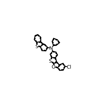 Clc1ccc2oc3sc4cc(N(c5ccccc5)c5ccc6sc7ccccc7c6c5)ccc4c3c2c1